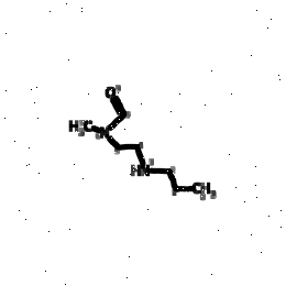 CCCNCCN(C)C=O